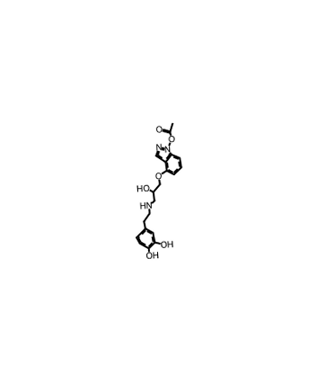 CC(=O)On1ncc2c(OCC(O)CNCCc3ccc(O)c(O)c3)cccc21